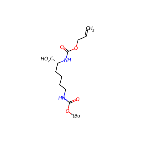 C=CCOC(=O)N[C@H](CCCCNC(=O)OC(C)(C)C)C(=O)O